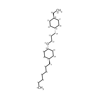 CCCCCCC[C@H]1CC[C@H](OCCC[C@H]2CC[C@H](CC)CC2)CC1